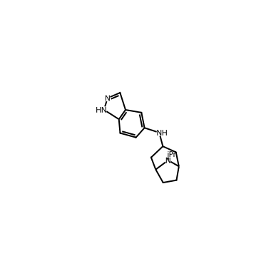 CC(C)N1C2CCC1CC(Nc1ccc3[nH]ncc3c1)C2